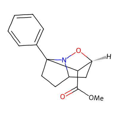 COC(=O)C1[C@@H]2CC3CCC1(c1ccccc1)N3O2